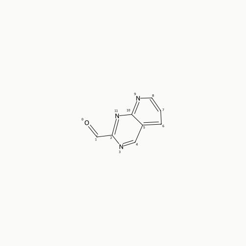 O=[C]c1ncc2cccnc2n1